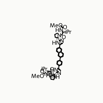 COC(=O)N[C@H](C(=O)N1CCC[C@H]1c1ncc(-c2ccc3cc(-c4ccc(-c5cnc([C@@H]6[C@@H]7CC[C@@H](C7)N6C(=O)[C@@H](NC(=O)OC)C(C)C)[nH]5)cc4)ccc3c2)[nH]1)C(C)C